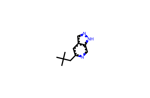 CC(C)(C)Cc1cc2cn[nH]c2cn1